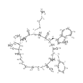 C[C@@H](O)[C@@H]1NC(=O)[C@H](CCCCN)NC(=O)[C@@H](Cc2c[nH]c3ccccc23)NC(=O)[C@H](Cc2ccccc2)NC(=O)CCSSCCNC1=O